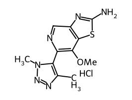 COc1c(-c2c(C)nnn2C)ncc2nc(N)sc12.Cl